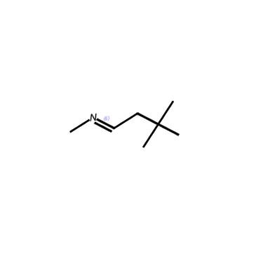 C/N=C/CC(C)(C)C